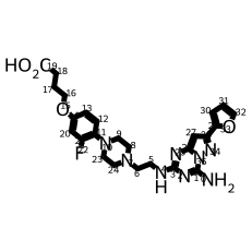 Nc1nc(NCCN2CCN(c3ccc(OCCCC(=O)O)cc3F)CC2)nc2cc(-c3ccco3)nn12